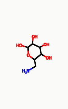 NCC1OC(O)C(O)C(O)C1O